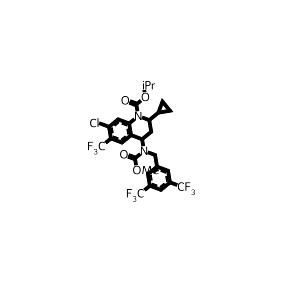 COC(=O)N(Cc1cc(C(F)(F)F)cc(C(F)(F)F)c1)C1CC(C2CC2)N(C(=O)OC(C)C)c2cc(Cl)c(C(F)(F)F)cc21